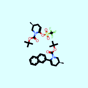 C[C@H]1CC=C(OS(=O)(=O)C(F)(F)F)N(C(=O)OC(C)(C)C)C1.C[C@H]1CC=C(c2ccc3ccccc3c2)N(C(=O)OC(C)(C)C)C1